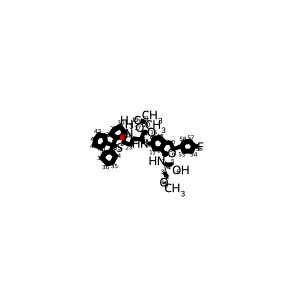 COCC[C@@H](CO)NC(=O)c1cc(NC(C(=O)OC(C)(C)C)C2CC(SC(c3ccccc3)(c3ccccc3)c3ccccc3)CN2)ccc1CCc1ccc(F)cc1